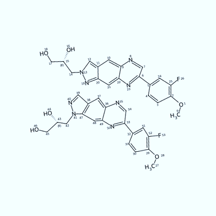 COc1ccc(-c2cnc3cc4cn(C[C@@H](O)CO)nc4cc3n2)cc1F.COc1ccc(-c2cnc3cc4cnn(C[C@@H](O)CO)c4cc3n2)cc1F